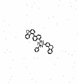 c1ccc(-c2nc(-c3ccc4c(c3)-c3ccccc3CC4)nc(-c3cccc4c(-c5cccc6oc7ccccc7c56)cccc34)n2)cc1